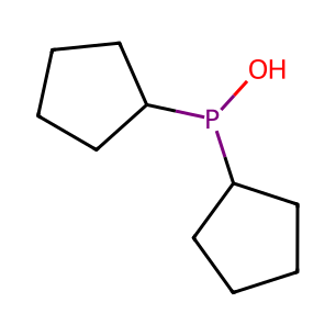 OP(C1CCCC1)C1CCCC1